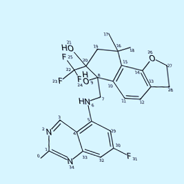 Cc1ncc2c(NCC3(O)c4ccc5c(c4C(C)(C)CC3(O)C(F)(F)F)OCC5)cc(F)cc2n1